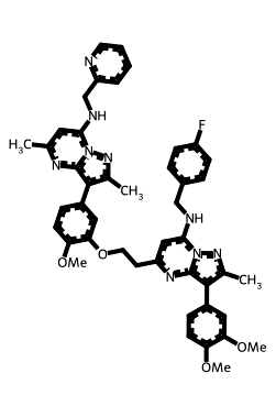 COc1ccc(-c2c(C)nn3c(NCc4ccc(F)cc4)cc(CCOc4cc(-c5c(C)nn6c(NCc7ccccn7)cc(C)nc56)ccc4OC)nc23)cc1OC